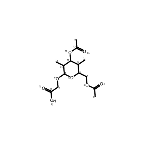 CC(=O)OCC1OC(OCC(=O)O)C(C)C(OC(C)=O)C1C